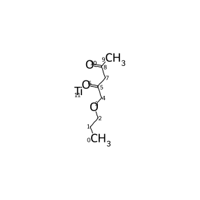 CCCOCC(=O)CC(C)=O.[Ti]